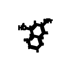 CC(C)c1cc(O)c2ncccc2c1